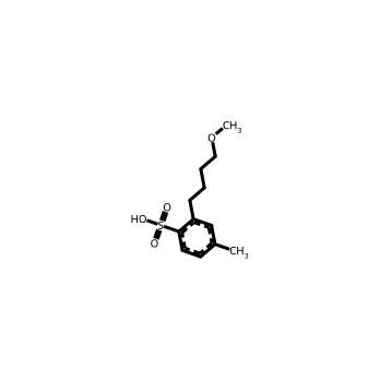 COCCCCc1cc(C)ccc1S(=O)(=O)O